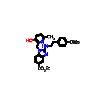 CCOC(=O)c1ccc2c(c1)nc(NCCc1ccc(OC)cc1)n2Cc1nc(C)ccc1O